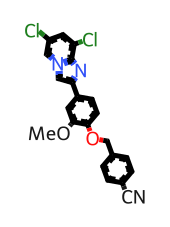 COc1cc(-c2cn3cc(Cl)cc(Cl)c3n2)ccc1OCc1ccc(C#N)cc1